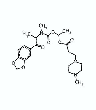 CC(OC(=O)CCN1CCN(C)CC1)OC(=O)N(C)C(C)C(=O)c1ccc2c(c1)OCO2